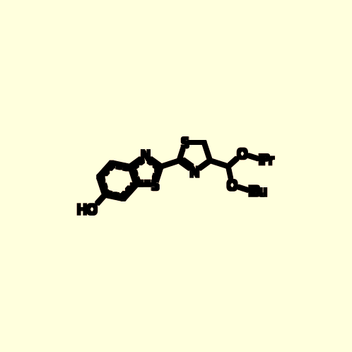 CCC(C)OC(OC(C)C)C1CSC(c2nc3ccc(O)cc3s2)=N1